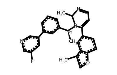 Cc1coc2ccc(C3=CC=NC(C)N3[C@@H](C)c3cccc(-c4cncc(F)c4)c3)cc12